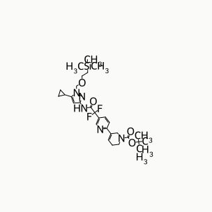 CC(C)(C)OC(=O)N1CCC=C(c2ccc(C(F)(F)C(=O)Nc3cc(C4CC4)n(COCC[Si](C)(C)C)n3)cn2)C1